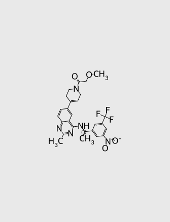 COCC(=O)N1CC=C(c2ccc3nc(C)nc(N[C@H](C)c4cc([N+](=O)[O-])cc(C(F)(F)F)c4)c3c2)CC1